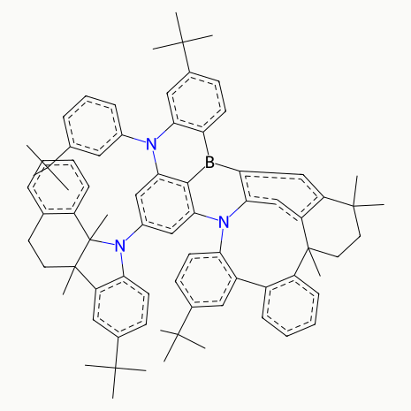 CC(C)(C)c1cccc(N2c3cc(C(C)(C)C)ccc3B3c4cc5c6cc4N(c4ccc(C(C)(C)C)cc4-c4ccccc4C6(C)CCC5(C)C)c4cc(N5c6ccc(C(C)(C)C)cc6C6(C)CCc7ccccc7C56C)cc2c43)c1